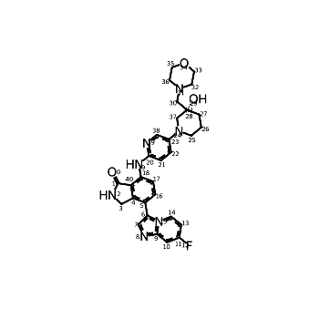 O=C1NCc2c(-c3cnc4cc(F)ccn34)ccc(Nc3ccc(N4CCC[C@](O)(CN5CCOCC5)C4)cn3)c21